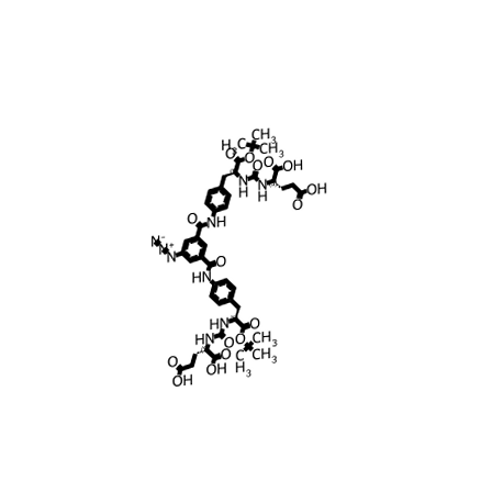 CC(C)(C)OC(=O)[C@H](Cc1ccc(NC(=O)c2cc(N=[N+]=[N-])cc(C(=O)Nc3ccc(C[C@H](NC(=O)N[C@@H](CCC(=O)O)C(=O)O)C(=O)OC(C)(C)C)cc3)c2)cc1)NC(=O)N[C@@H](CCC(=O)O)C(=O)O